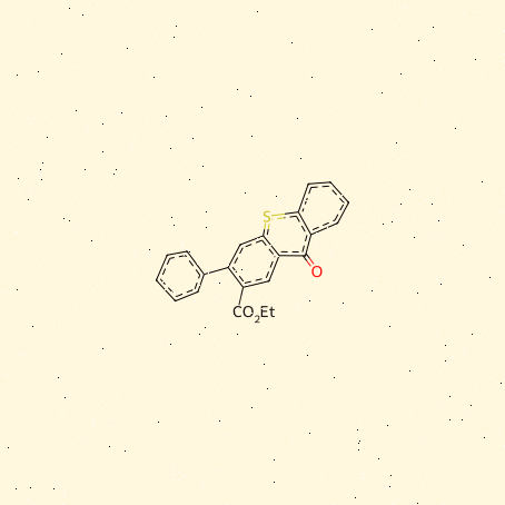 CCOC(=O)c1cc2c(=O)c3ccccc3sc2cc1-c1ccccc1